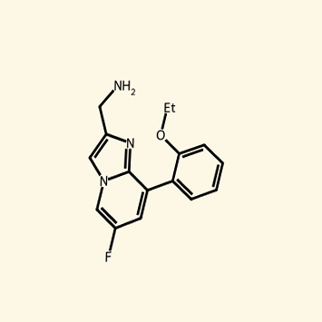 CCOc1ccccc1-c1cc(F)cn2cc(CN)nc12